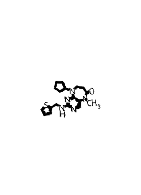 CN1C(=O)CCN(C2CCCC2)c2nc(NCc3cccs3)ncc21